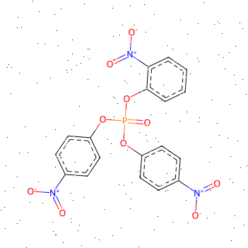 O=[N+]([O-])c1ccc(OP(=O)(Oc2ccc([N+](=O)[O-])cc2)Oc2ccccc2[N+](=O)[O-])cc1